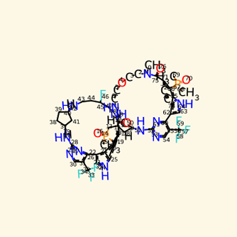 CN1CCOCCN[C@@H]2C[C@H](CC2CP(C)(=O)c2c3ccc4c(c[nH]c24)-c2nc(ncc2C(F)(F)F)N[C@H]2CC[C@@H](C2)NCCC(F)CNC3=O)Nc2ncc(C(F)(F)F)c(n2)-c2c[nH]c3c(P(C)(C)=O)c(ccc23)C1=O